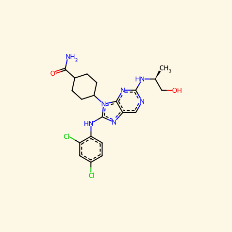 C[C@@H](CO)Nc1ncc2nc(Nc3ccc(Cl)cc3Cl)n(C3CCC(C(N)=O)CC3)c2n1